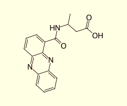 CC(CC(=O)O)NC(=O)c1cccc2nc3ccccc3nc12